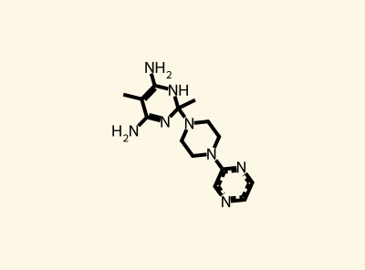 CC1=C(N)NC(C)(N2CCN(c3cnccn3)CC2)N=C1N